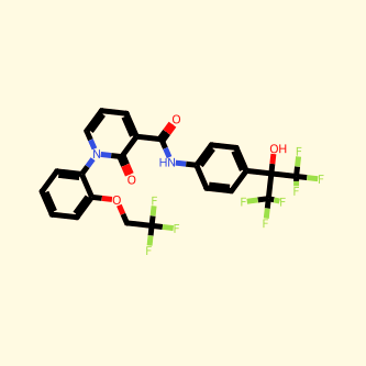 O=C(Nc1ccc(C(O)(C(F)(F)F)C(F)(F)F)cc1)c1cccn(-c2ccccc2OCC(F)(F)F)c1=O